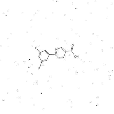 O=C(O)c1ccc(-c2cc(F)cc(F)c2)nc1